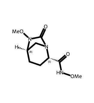 CONC(=O)[C@@H]1CC[C@@H]2CN1C(=O)N2OC